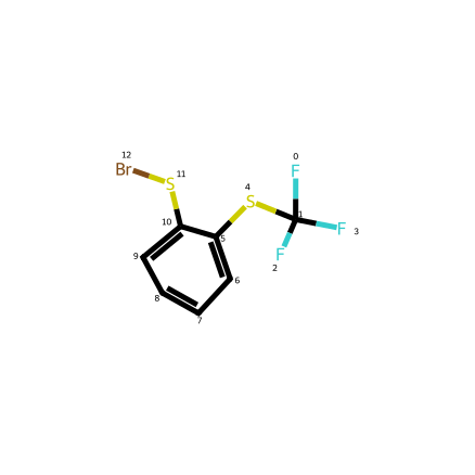 FC(F)(F)Sc1ccccc1SBr